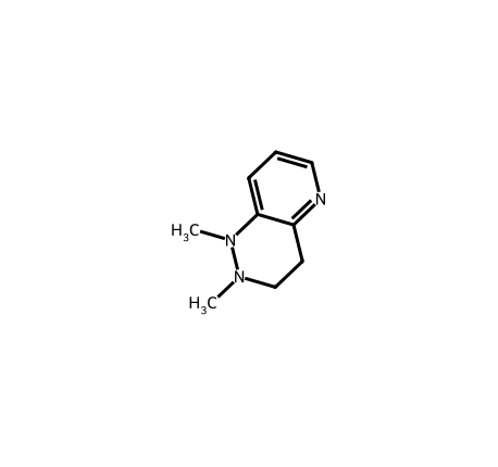 CN1CCc2ncccc2N1C